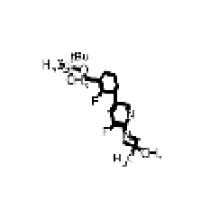 CC1(C)CN(c2ncc(-c3cccc(CO[Si](C)(C)C(C)(C)C)c3F)cc2F)C1